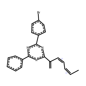 C=C(/C=C\C=C/C)c1nc(-c2ccccc2)nc(-c2ccc(Br)cc2)n1